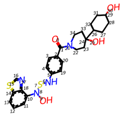 O=C(c1ccc(NSN(O)c2cccc3scnc23)cc1)N1CCC(O)(C2CCC(O)CC2)CC1